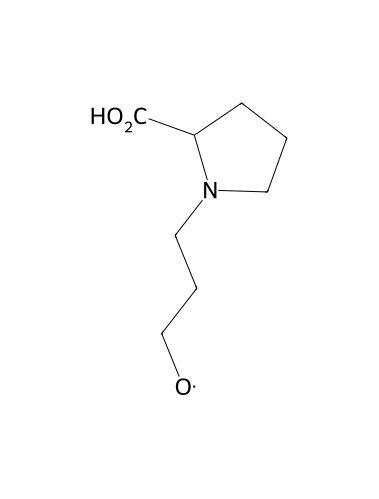 [O]CCCN1CCCC1C(=O)O